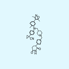 Cc1ccc(-c2c(C)noc2C)cc1N(CC1CCN(Cc2ccc(C3CCC(=O)NC3=O)cc2)CC1)c1ccc(C2(C#N)CC2)cc1